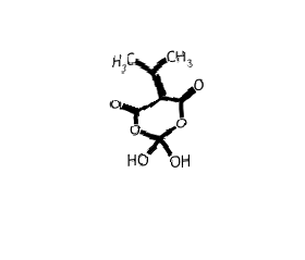 CC(C)=C1C(=O)OC(O)(O)OC1=O